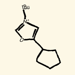 CC(C)(C)[n+]1coc(C2CCCC2)c1